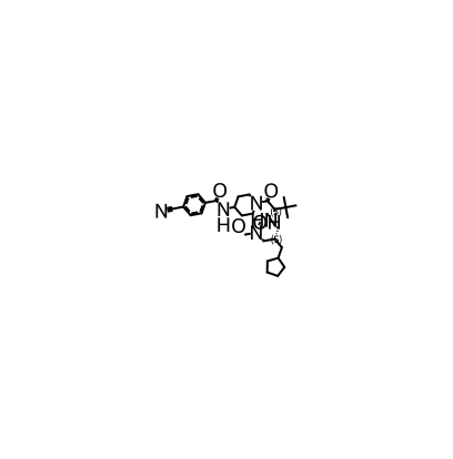 CC(C)(C)[C@H](NC[C@H](CC1CCCC1)CN(O)C=O)C(=O)N1CCC(NC(=O)c2ccc(C#N)cc2)CC1